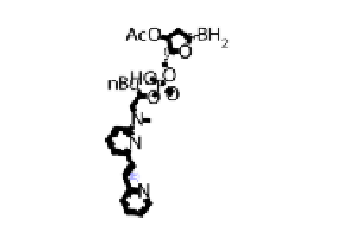 B[C@H]1CC(OC(C)=O)[C@@H](COP(=O)(O)OC(CCCC)CN(C)c2cccc(/C=C/c3ccccn3)n2)O1